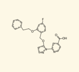 O=C(O)c1ccnc(-n2nccc2OCc2ccc(F)cc2OCCc2ccccc2)c1